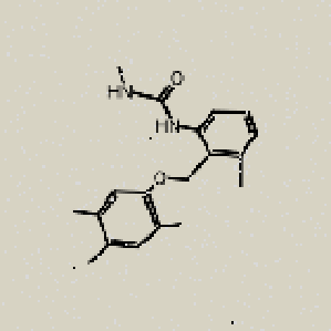 CNC(=O)Nc1cccc(C)c1COc1cc(C)c(C)cc1C